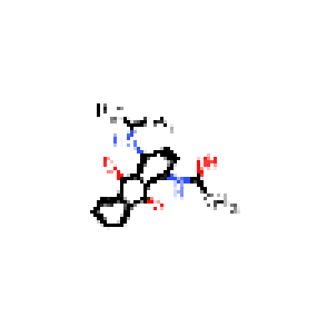 CC(C)Nc1ccc(NC(C)O)c2c1C(=O)c1ccccc1C2=O